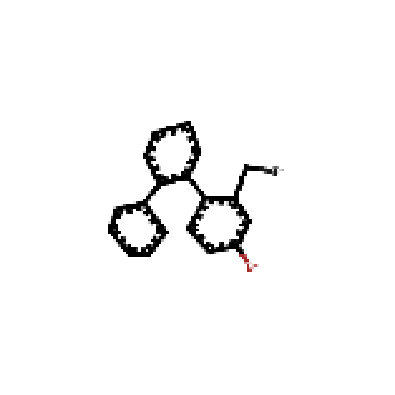 CC(C)Cc1cc(Br)ccc1-c1ccccc1-c1ccccc1